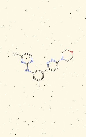 Cc1cc(Nc2nccc(C(F)(F)F)n2)cc(-c2ccc(N3CCOCC3)nn2)c1